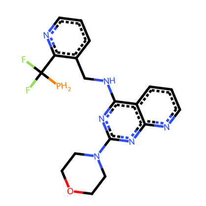 FC(F)(P)c1ncccc1CNc1nc(N2CCOCC2)nc2ncccc12